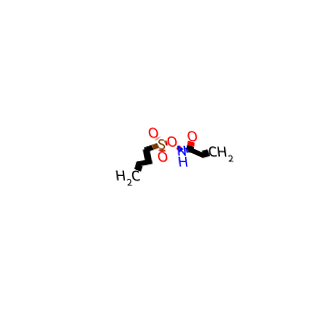 C=CC=CS(=O)(=O)ONC(=O)C=C